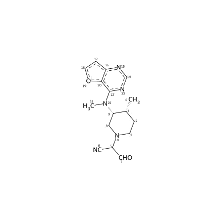 C[C@@H]1CCN(C(C#N)C=O)C[C@@H]1N(C)c1ncnc2ccoc12